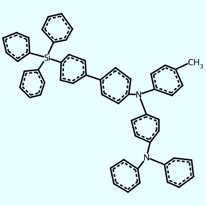 Cc1ccc(N(c2ccc(-c3ccc([Si](c4ccccc4)(c4ccccc4)c4ccccc4)cc3)cc2)c2ccc(N(c3ccccc3)c3ccccc3)cc2)cc1